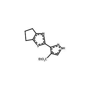 CCOC(=O)c1c[nH]nc1-c1nc2c(s1)CCC2